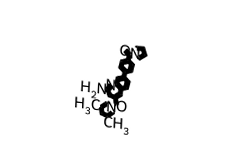 CC1CC(C)CN(C(=O)C2=Cc3ccc(-c4ccc(C(=O)N5CCCC5)cc4)cc3N=C(N)C2)C1